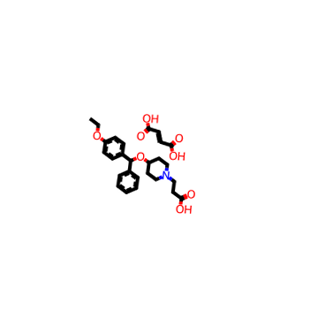 CCOc1ccc(C(OC2CCN(CCC(=O)O)CC2)c2ccccc2)cc1.O=C(O)/C=C/C(=O)O